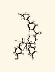 Cc1nc(-c2ccc(C(=O)N3CCC(C(=O)N[C@@H](C)c4ccc(F)cc4)(c4ccc(F)cc4)CC3)cc2)no1